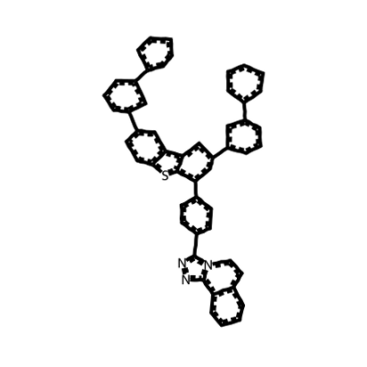 c1ccc(-c2cccc(-c3ccc4sc5c(-c6ccc(-c7nnc8c9ccccc9ccn78)cc6)cc(-c6cccc(-c7ccccc7)c6)cc5c4c3)c2)cc1